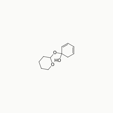 OC1(OC2CCCCO2)C=CC=CC1